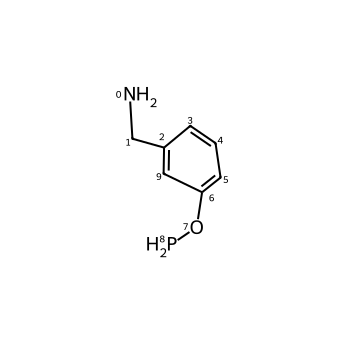 NCc1cccc(OP)c1